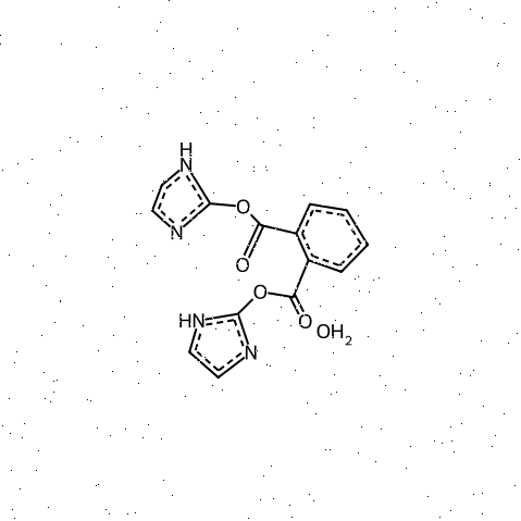 O.O=C(Oc1ncc[nH]1)c1ccccc1C(=O)Oc1ncc[nH]1